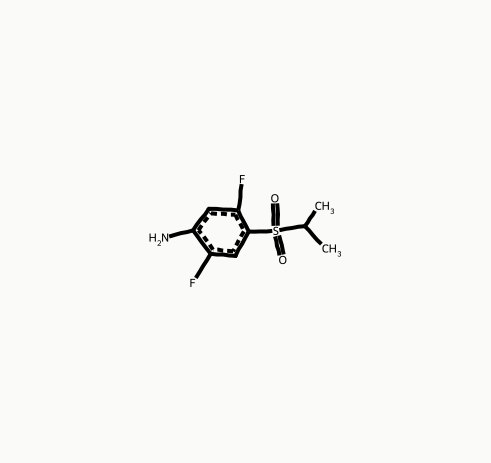 CC(C)S(=O)(=O)c1cc(F)c(N)cc1F